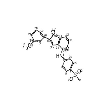 CS(=O)(=O)c1ccc(Nc2nccc3[nH]c(-c4cccc(C(F)(F)F)c4)cc23)cc1